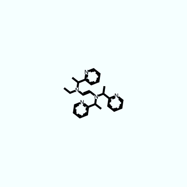 CCN(/C=C/N(C(C)c1ccccn1)C(C)c1ccccn1)C(C)c1ccccn1